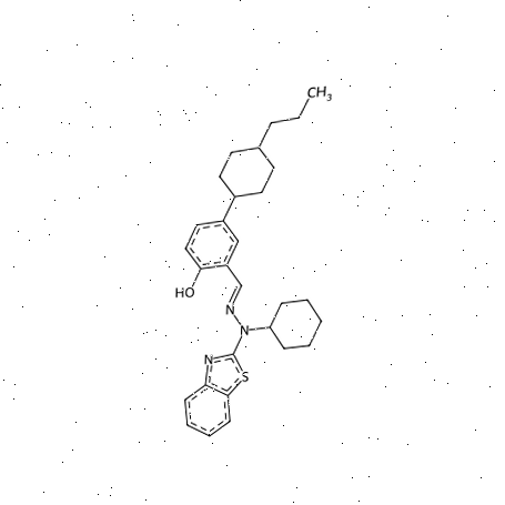 CCCC1CCC(c2ccc(O)c(/C=N/N(c3nc4ccccc4s3)C3CCCCC3)c2)CC1